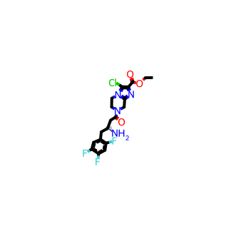 CCOC(=O)c1nc2n(c1Cl)CCN(C(=O)C[C@H](N)Cc1cc(F)c(F)cc1F)C2